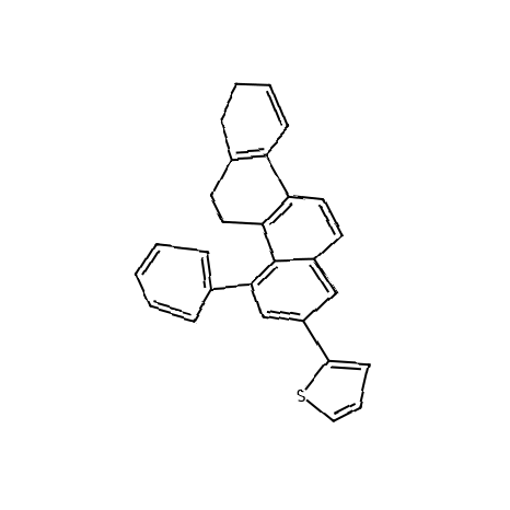 C1=CC2=C(CC1)CCc1c2ccc2cc(-c3cccs3)cc(-c3ccccc3)c12